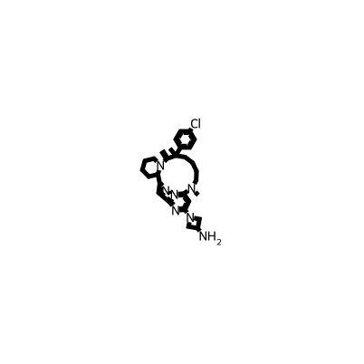 C=C1N2CCCCC2c2cc3nc(N4CC(N)C4)cc(n3n2)N(C)CCCCC1(C)c1ccc(Cl)cc1